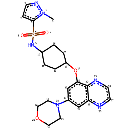 Cn1nccc1S(=O)(=O)NC1CCC(Oc2cc(N3CCOCC3)cc3nccnc23)CC1